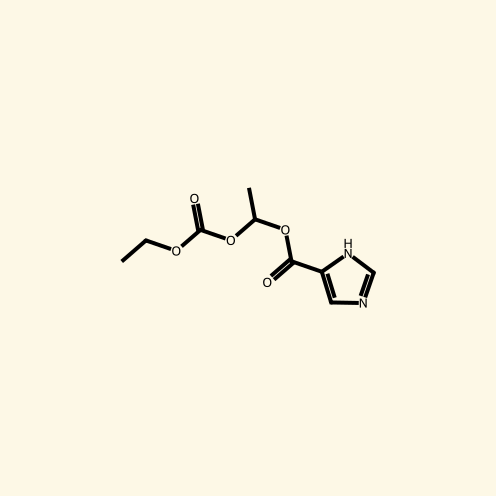 CCOC(=O)OC(C)OC(=O)c1cnc[nH]1